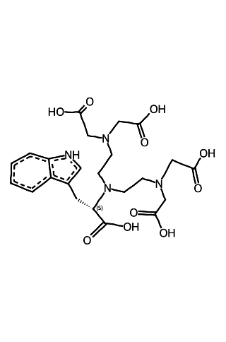 O=C(O)CN(CCN(CCN(CC(=O)O)CC(=O)O)[C@@H](Cc1c[nH]c2ccccc12)C(=O)O)CC(=O)O